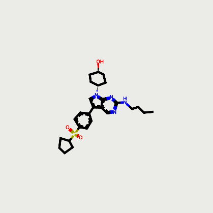 CCCCNc1ncc2c(-c3ccc(S(=O)(=O)C4CCCC4)cc3)cn([C@H]3CC[C@H](O)CC3)c2n1